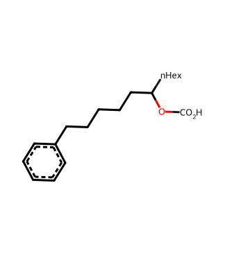 CCCCCCC(CCCCCc1ccccc1)OC(=O)O